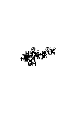 Cc1nn(C(=O)OC(C)(C)C)cc1-c1cc2nc([C@@H]3[C@@H]4C[C@@H]4CN3C(=O)O)[nH]c(=O)c2s1